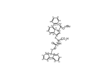 CC(C)(C)OC(=O)n1cc(C[C@H](NC(=O)OCC2c3ccccc3-c3ccccc32)C(=O)O)c2cccc(-c3ccccc3)c21